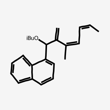 C=C(/C(C)=C\C=C/C)C(OCC(C)C)c1cccc2ccccc12